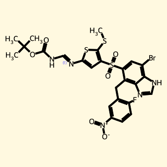 CSc1sc(/N=C/NC(=O)OC(C)(C)C)cc1S(=O)(=O)c1cc(Br)c2[nH]cnc2c1Cc1cc([N+](=O)[O-])ccc1F